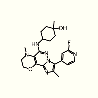 Cc1nc2c3c(c(NC4CCC(C)(O)CC4)nn2c1-c1ccnc(F)c1)N(C)CCO3